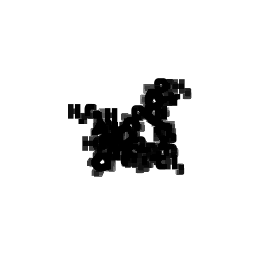 C=C[C@@H]1C[C@]1(NC(=O)C1C[C@H](Oc2cc(-c3csc(C(=O)NC(C)C)n3)nc3c(Br)c(OC)ccc23)CN1C(=O)C(NC(=O)OC1CCCC1)C(C)(C)C)C(=O)O